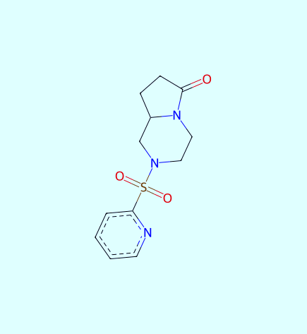 O=C1CCC2CN(S(=O)(=O)c3ccccn3)CCN12